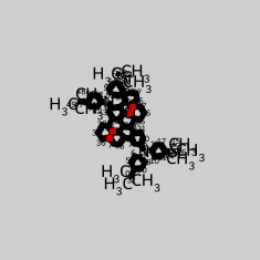 CC(C)(C)c1ccc(N(c2ccc([Si](C)(C)C)cc2)c2ccc3c(-c4ccccc4)c(-c4c(-c5ccccc5)cc(N(c5ccc(C(C)(C)C)cc5)c5ccc([Si](C)(C)C)cc5)c5c4oc4ccccc45)c4ccccc4c3c2)cc1